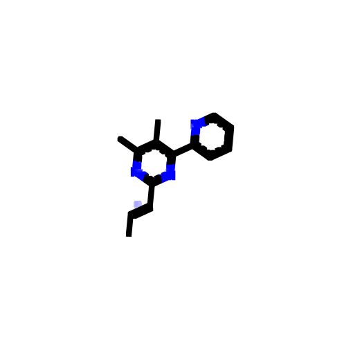 C/C=C/c1nc(C)c(C)c(-c2ccccn2)n1